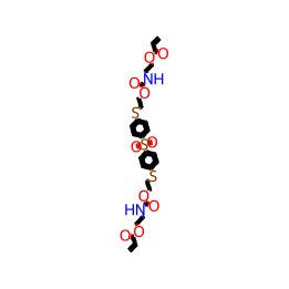 C=CC(=O)OCCNC(=O)OCCSc1ccc(S(=O)(=O)c2ccc(SCCOC(=O)NCCOC(=O)C=C)cc2)cc1